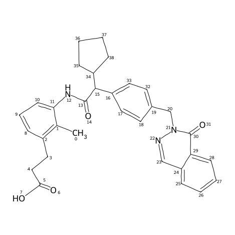 Cc1c(CCC(=O)O)cccc1NC(=O)C(c1ccc(Cn2ncc3ccccc3c2=O)cc1)C1CCCC1